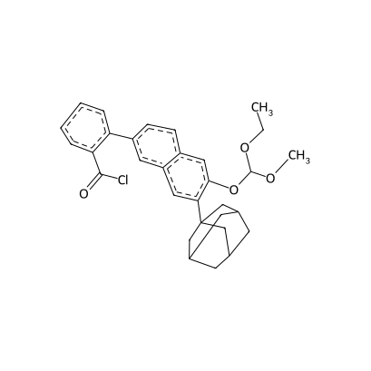 CCOC(OC)Oc1cc2ccc(-c3ccccc3C(=O)Cl)cc2cc1C12CC3CC(CC(C3)C1)C2